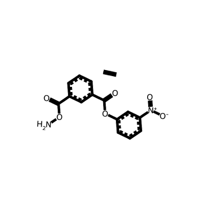 C=C.NOC(=O)c1cccc(C(=O)Oc2cccc([N+](=O)[O-])c2)c1